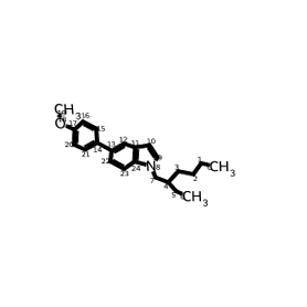 CCCCC(CC)Cn1ccc2cc(-c3ccc(OC)cc3)ccc21